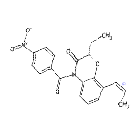 C/C=C\c1cccc2c1OC(CC)C(=O)N2C(=O)c1ccc([N+](=O)[O-])cc1